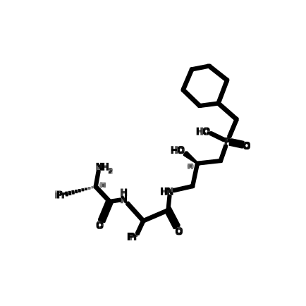 CC(C)C(NC(=O)[C@@H](N)C(C)C)C(=O)NC[C@@H](O)CP(=O)(O)CC1CCCCC1